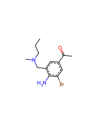 CCCN(C)Cc1cc(C(C)=O)cc(Br)c1N